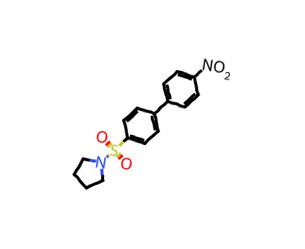 O=[N+]([O-])c1ccc(-c2ccc(S(=O)(=O)N3CCCC3)cc2)cc1